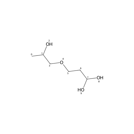 CC(O)COCCC(O)O